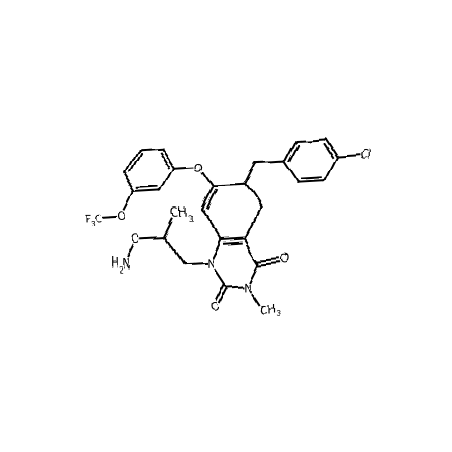 CC(Cn1c2c(c(=O)n(C)c1=O)CC(Cc1ccc(Cl)cc1)C(Oc1cccc(OC(F)(F)F)c1)=C2)ON